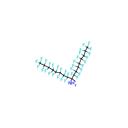 CC(N)(C(F)(F)C(F)(F)C(F)(F)C(F)(F)C(F)(F)C(F)(F)C(F)(F)C(F)(F)F)C(F)(F)C(F)(F)C(F)(F)C(F)(F)C(F)(F)C(F)(F)C(F)(F)C(F)(F)F